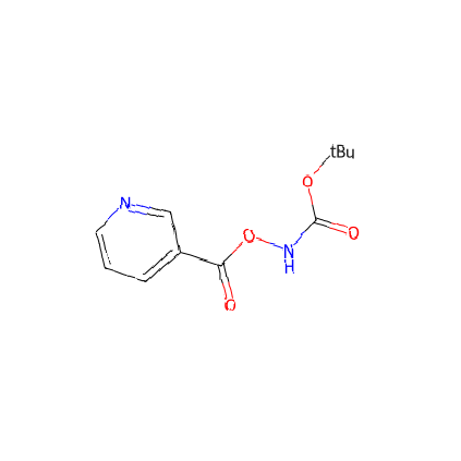 CC(C)(C)OC(=O)NOC(=O)c1cccnc1